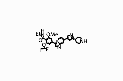 CCNC(=O)c1c(OC)cc(-c2cnc3cc(-c4cnn(C5CCNCC5)c4)ccn23)cc1OC(F)F